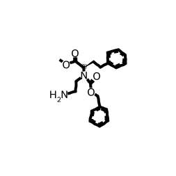 COC(=O)[C@@H](CCc1ccccc1)N(CCN)C(=O)OCc1ccccc1